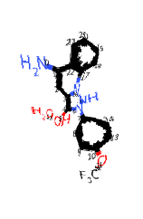 NC1=CC2=C(O)N(c3ccc(OC(F)(F)F)cc3)NN2c2ccccc21.O